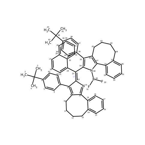 CC(C)(C)c1ccc(C2=C3CCCCc4ccccc4C3=N/C2=C(/c2cccc3ccccc23)c2c(-c3ccc(C(C)(C)C)cc3)c3c(n2B(F)F)-c2ccccc2CCCC3)cc1